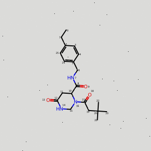 CCc1ccc(CNC(=O)C2CC(=O)NCN2C(=O)CC(C)(C)C)cc1